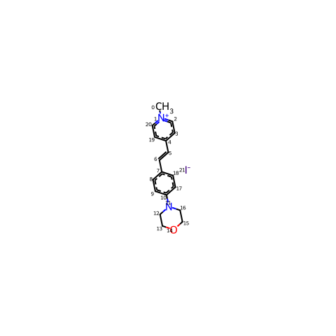 C[n+]1ccc(/C=C/c2ccc(N3CCOCC3)cc2)cc1.[I-]